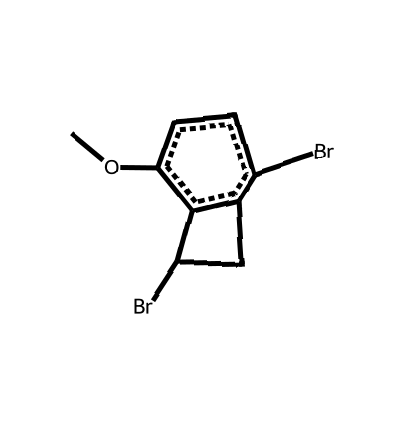 COc1ccc(Br)c2c1C(Br)C2